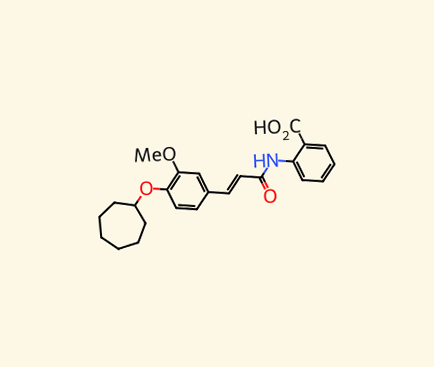 COc1cc(/C=C/C(=O)Nc2ccccc2C(=O)O)ccc1OC1CCCCCC1